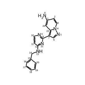 Nc1ccn2ncc(-c3nccc(NCc4ccccc4)n3)c2c1